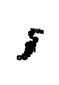 CC(=O)NC1CCN(C[C@@H]2CCCN2C(=O)CN2CCC[C@H](NS(=O)(=O)c3cc4cc(Cl)ccc4s3)C2=O)C1